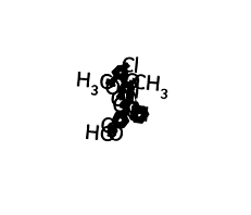 COc1nn([C@@H](Cc2ccccc2)C(=O)Nc2ccc(S(=O)(=O)O)cc2)c(=O)cc1-c1cc(Cl)ccc1C(C)=O